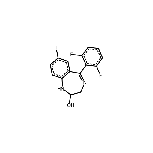 OC1CN=C(c2c(F)cccc2F)c2cc(I)ccc2N1